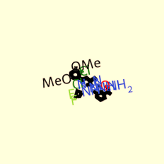 C=C(C(N)=O)c1cccc(C)c1Nc1ncc2cc(-c3c(Cl)c(OC)cc(OC)c3Cl)nc(NC3CC(F)(F)C3)c2n1